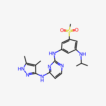 Cc1[nH]nc(Nc2ccnc(Nc3cc(NC(C)C)cc(S(C)(=O)=O)c3)n2)c1C